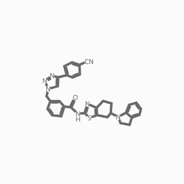 N#Cc1ccc(-c2cn(Cc3cccc(C(=O)Nc4nc5c(s4)CC(N4CCc6ccccc64)CC5)c3)nn2)cc1